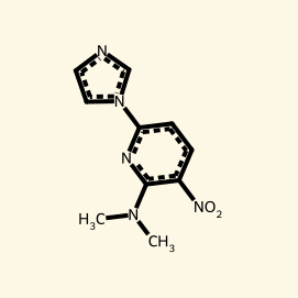 CN(C)c1nc(-n2ccnc2)ccc1[N+](=O)[O-]